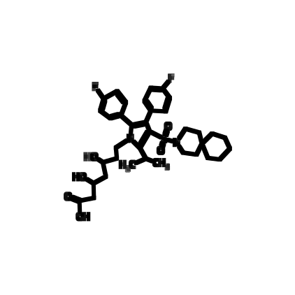 CC(C)c1c(S(=O)(=O)N2CCC3(CCCCC3)CC2)c(-c2ccc(F)cc2)c(-c2ccc(F)cc2)n1CCC(O)CC(O)CC(=O)O